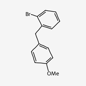 COc1ccc(Cc2ccccc2Br)cc1